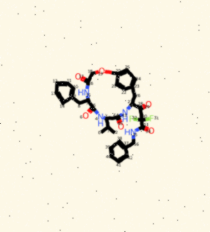 CC(C)C1NC(=O)C(Cc2ccccc2)NC(=O)COc2ccc(cc2)CC(C(=O)C(F)(F)C(=O)NCc2ccccc2)NC1=O